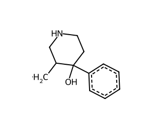 [CH2]C1CNCCC1(O)c1ccccc1